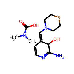 CN(C)C(=O)O.NC1=NC=CC(=CN2CCSCC2)C1O